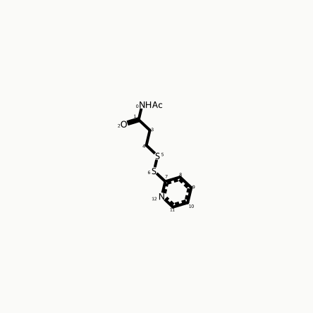 CC(=O)NC(=O)CCSSc1ccccn1